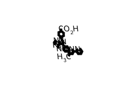 Cc1cc(-c2ccccn2)nc2cc(-c3nn(C4CCC(C(=O)O)CC4)c4ncnc(N)c34)ccc12